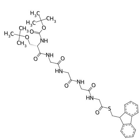 CC(C)(C)OC[C@H](NC(=O)OC(C)(C)C)C(=O)NCC(=O)NCC(=O)NCC(=O)NCC(=O)SCC1c2ccccc2-c2ccccc21